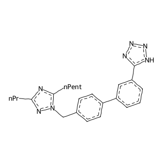 CCCCCc1nc(CCC)nn1Cc1ccc(-c2cccc(-c3nnn[nH]3)c2)cc1